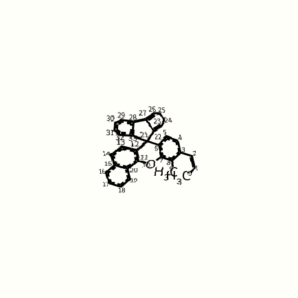 C/C=C\c1ccc2c(c1C)Oc1c(ccc3ccccc13)C21C2=CCCC=C2c2ccccc21